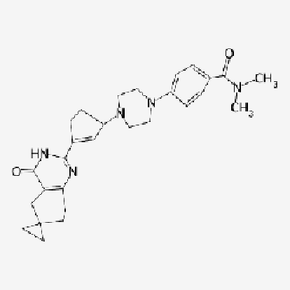 CN(C)C(=O)c1ccc(N2CCN(C3C=C(c4nc5c(c(=O)[nH]4)CC4(CC5)CC4)CC3)CC2)cc1